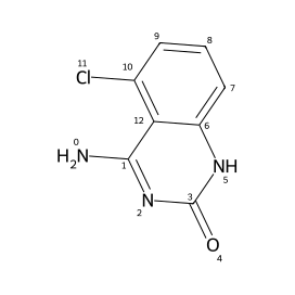 Nc1nc(=O)[nH]c2cccc(Cl)c12